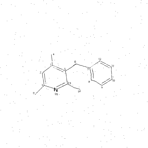 Cc1[c]c(C)c(Cc2ccccc2)c(C)n1